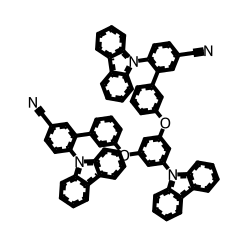 N#Cc1ccc(-n2c3ccccc3c3ccccc32)c(-c2cccc(Oc3cc(Oc4cccc(-c5cc(C#N)ccc5-n5c6ccccc6c6ccccc65)c4)cc(-n4c5ccccc5c5ccccc54)c3)c2)c1